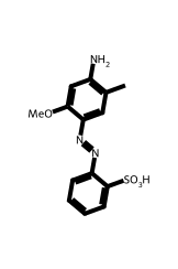 COc1cc(N)c(C)cc1N=Nc1ccccc1S(=O)(=O)O